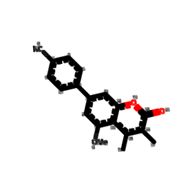 COc1cc(-c2ccc(C#N)cc2)cc2oc(=O)c(C)c(C)c12